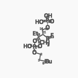 CCC(C)CCOP(=O)(O)OC(C)(CC)C(BF)COP(=O)(O)O